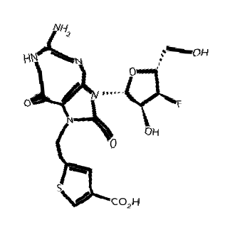 Nc1nc2c(c(=O)[nH]1)n(Cc1cc(C(=O)O)cs1)c(=O)n2[C@@H]1O[C@H](CO)[C@@H](F)[C@H]1O